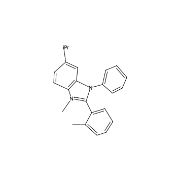 Cc1ccccc1-c1n(-c2ccccc2)c2cc(C(C)C)ccc2[n+]1C